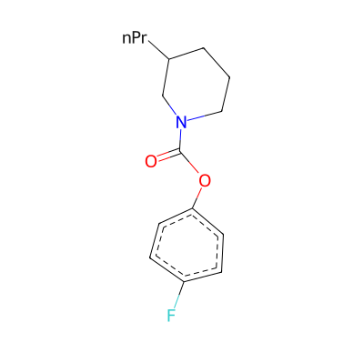 CCCC1CCCN(C(=O)Oc2ccc(F)cc2)C1